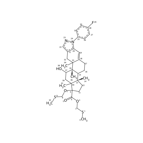 CSCOC(=O)C1(OCSC)CC[C@@]2(C)C3CCC4=Cc5c(cnn5-c5ccc(F)cc5)CC4(C)[C@@]3(C)C(O)CC12C